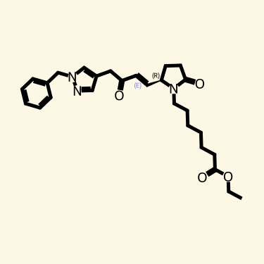 CCOC(=O)CCCCCCN1C(=O)CC[C@@H]1/C=C/C(=O)Cc1cnn(Cc2ccccc2)c1